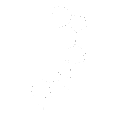 CN1CCCC(S(=O)(=O)Nc2ccc(C3CCC4CCCCN43)cc2)C1